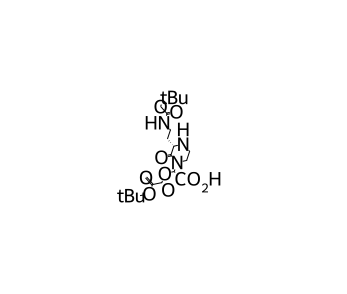 CC(C)(C)OC(=O)NCC[C@@H]1NCCN(C(OC(=O)C(=O)OC(C)(C)C)C(=O)O)C1=O